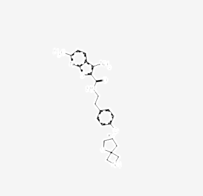 Cc1ccc2c(N)c(C(=O)NCCc3ccc(O[C@H]4COC5(CNC5)C4)cc3)sc2n1